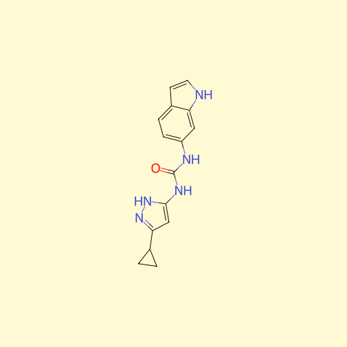 O=C(Nc1ccc2cc[nH]c2c1)Nc1cc(C2CC2)n[nH]1